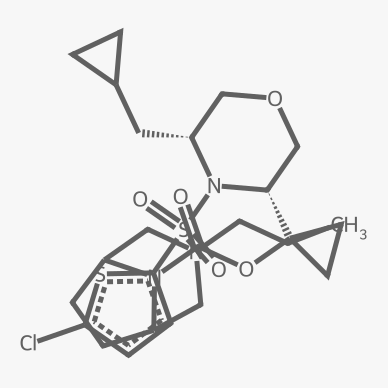 CCCN1CC2CCC(C1)N2C(=O)OC1([C@H]2COC[C@@H](CC3CC3)N2S(=O)(=O)c2ccc(Cl)s2)CC1